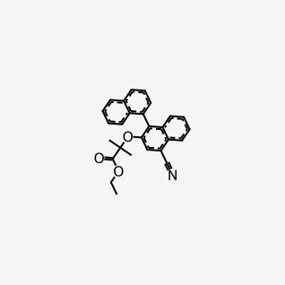 CCOC(=O)C(C)(C)Oc1cc(C#N)c2ccccc2c1-c1cccc2ccccc12